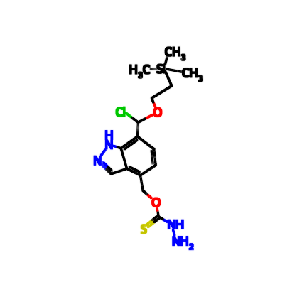 C[Si](C)(C)CCOC(Cl)c1ccc(COC(=S)NN)c2cn[nH]c12